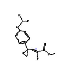 COC(=O)/C(F)=C/C1(c2ccc(OC(F)F)cc2)CC1